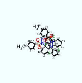 Cc1ccc(S(=O)(=O)NC2(F)C=CC=C(F)[CH]2[Ti]([C]2=CC=CC2)([C]2=CC=CC2)[CH]2C(F)=CC=CC2(F)NS(=O)(=O)c2ccc(C)cc2)cc1